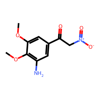 COc1cc(C(=O)C[N+](=O)[O-])cc(N)c1OC